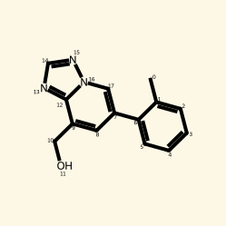 Cc1ccccc1-c1cc(CO)c2ncnn2c1